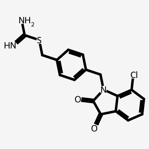 N=C(N)SCc1ccc(CN2C(=O)C(=O)c3cccc(Cl)c32)cc1